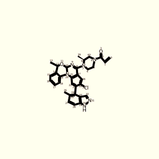 C=CC(=O)N1CCN(C2=NC3OC(C)c4ccccc4N3c3cc(-c4c(C)ccc5[nH]ncc45)c(Cl)cc32)[C@@H](C)C1